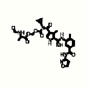 Cc1ccc(C(=O)Nc2ccon2)cc1NC(=N)c1[nH]cc(C(=O)N(C(=O)OCOC(=O)C(C)NC=O)C2CC2)c1C